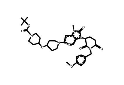 COc1ccc(CN2C(=O)CCC(n3c(=O)n(C)c4cc(N5CCC(OC6CCN(C(=O)OC(C)(C)C)CC6)CC5)ccc43)C2=O)cc1